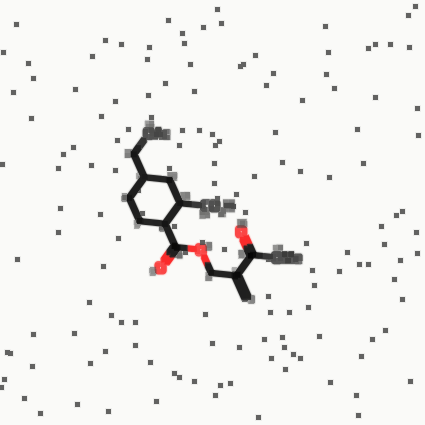 C=C(COC(=O)C1CCC(COC(C)=O)CC1C(=O)O)C(=O)OC